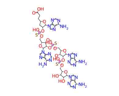 COC1C(COP(O)(=S)OC2CC(CCC(=O)O)OC2n2cnc3c(N)ncnc32)OC(n2cnc3c(N)ncnc32)C1OP(O)(=S)OCC1OC(n2cnc3c(N)ncnc32)C(OP(O)(=S)OCC2OC(n3cnc4c(N)ncnc43)C(O)C2O)C1OC